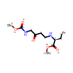 CC(C)C[C@H](NCCC(=O)CNC(=O)OC(C)(C)C)C(=O)OC(C)(C)C